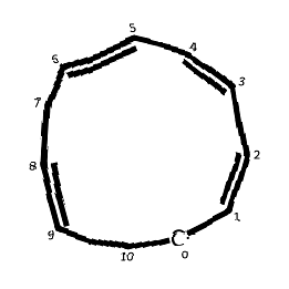 [CH]1C=CC=CC=CCC=CC1